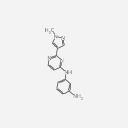 Cn1cc(-c2nccc(Nc3cccc(N)c3)n2)cn1